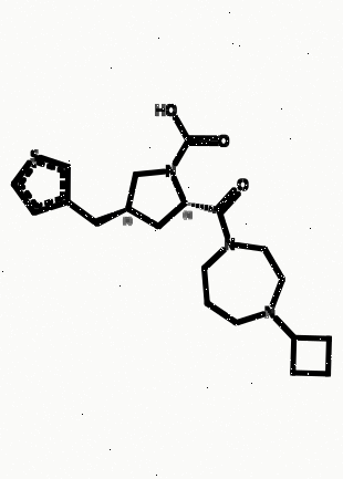 O=C([C@@H]1C[C@@H](Cc2ccsc2)CN1C(=O)O)N1CCCN(C2CCC2)CC1